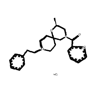 C[C@H]1CN(C(=O)c2ccccn2)CC2(CCN(CCc3ccccc3)CC2)O1.Cl